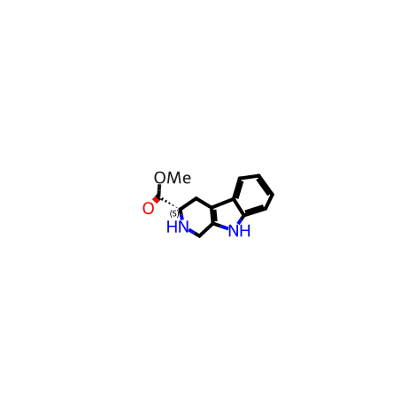 COC(=O)[C@@H]1Cc2c([nH]c3ccccc23)CN1